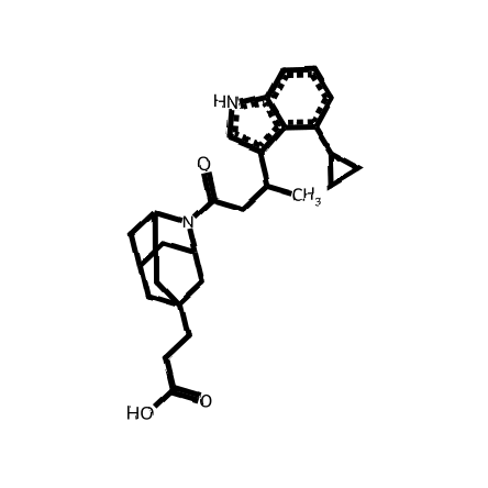 CC(CC(=O)N1C2CC3CC1CC(CCC(=O)O)(C3)C2)c1c[nH]c2cccc(C3CC3)c12